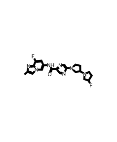 Cc1cn2cc(NC(=O)c3cnc(N4CCC(N5CCC(F)C5)C4)cn3)cc(F)c2n1